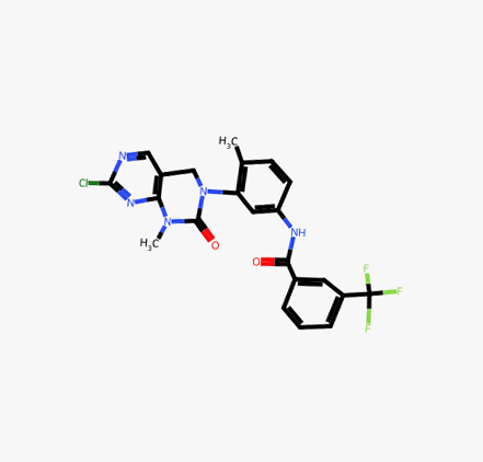 Cc1ccc(NC(=O)c2cccc(C(F)(F)F)c2)cc1N1Cc2cnc(Cl)nc2N(C)C1=O